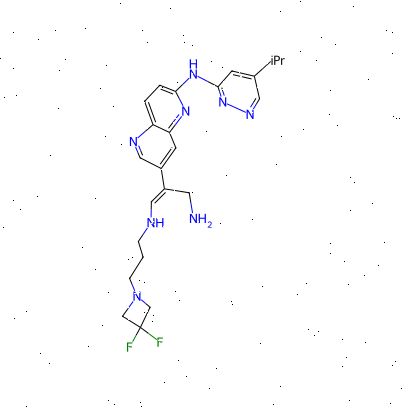 CC(C)c1cnnc(Nc2ccc3ncc(/C(=C/NCCCN4CC(F)(F)C4)CN)cc3n2)c1